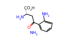 N.Nc1ccccc1C(=O)C[C@H](N)C(=O)O